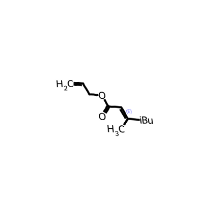 C=CCOC(=O)/C=C(\C)C(C)CC